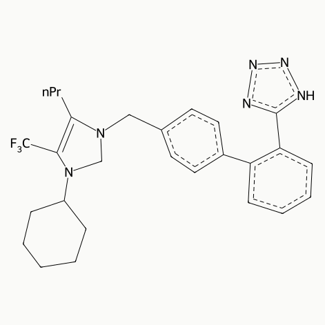 CCCC1=C(C(F)(F)F)N(C2CCCCC2)CN1Cc1ccc(-c2ccccc2-c2nnn[nH]2)cc1